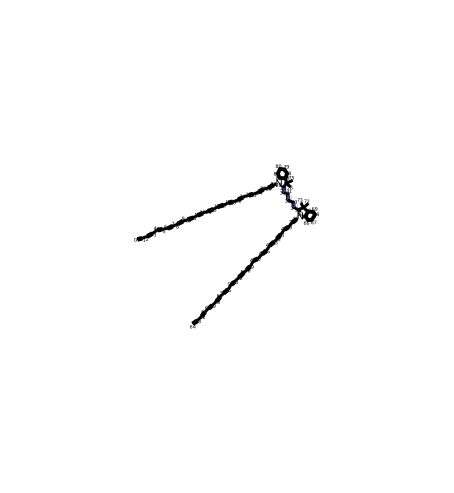 C#CC#CC#CC#CC#CC#CC#CC#CC#CC#CC#CC#CC#CC#CN1/C(=C/C=C/C=C/C2=[N+](C#CC#CC#CC#CC#CC#CC#CC#CC#CC#CC#CC#CC#CC#C)c3ccccc3C2(C)C)C(C)(C)c2ccccc21